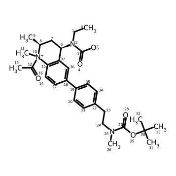 CCN(C(=O)[O-])[C@@H]1C[C@H](C)[N+](C)(C(C)=O)c2ccc(-c3ccc(CCN(C)C(=O)OC(C)(C)C)cc3)cc21